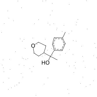 Cc1ccc(C(C)(O)C2CCOCC2)cc1